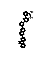 CC1C(c2cccc(-c3ccc4cc(-c5ccc6c(c5)C(C)(C)c5ccccc5-6)ccc4c3)c2)=CC=C2NCC(N)c3cccc(c3)C21